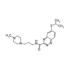 CC(C)Sc1ccc2nnc(C(=O)NCCCN3CCN(C)CC3)nc2c1